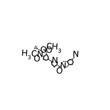 COC(=O)c1cc(-c2ccc(C(=O)N3Cc4ccc(C#N)cc4C3)cn2)ccc1N(CC1CC1)C(C)=O